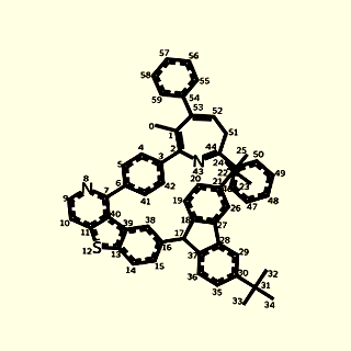 CC1=C(c2ccc(-c3nccc4sc5ccc(C6c7ccc(C(C)(C)C)cc7-c7cc(C(C)(C)C)ccc76)cc5c34)cc2)N=C(c2ccccc2)CC=C1c1ccccc1